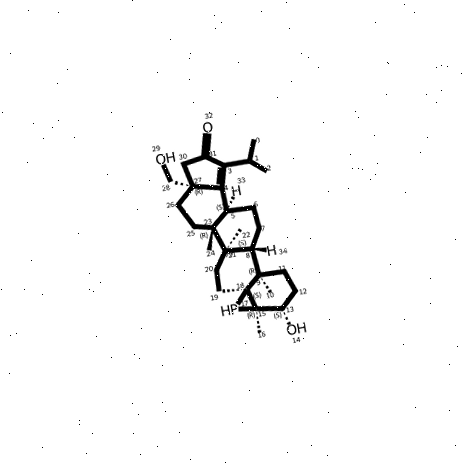 CC(C)C1=C2[C@H]3CC[C@@H]4[C@@]5(C)CC[C@H](O)[C@@]6(C)P[C@@]56CC[C@@]4(C)[C@]3(C)CC[C@@]2(CO)CC1=O